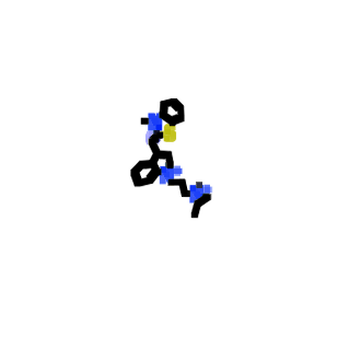 CC1C[N+]1(C)CCC[n+]1ccc(/C=C2\Sc3ccccc3N2C)c2ccccc21